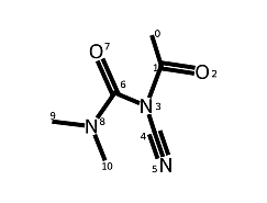 CC(=O)N(C#N)C(=O)N(C)C